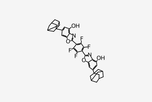 Oc1cc(C23CC4CC(CC(C4)C2)C3)cc2oc(-c3c(F)c(F)c(-c4nc5c(O)cc(C67CC8CC(CC(C8)C6)C7)cc5o4)c(F)c3F)nc12